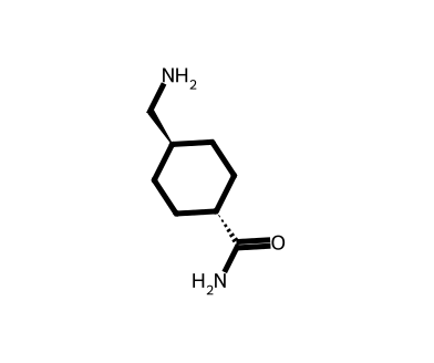 NC[C@H]1CC[C@H](C(N)=O)CC1